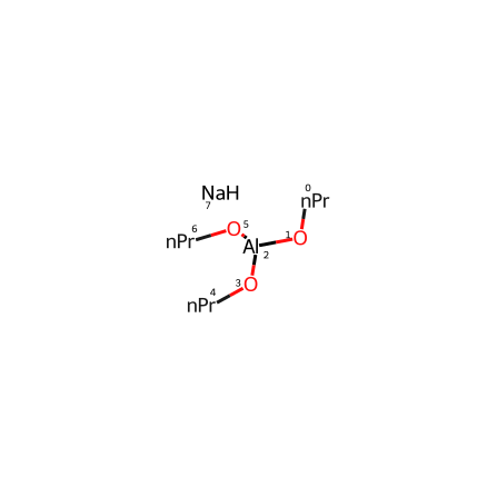 CCC[O][Al]([O]CCC)[O]CCC.[NaH]